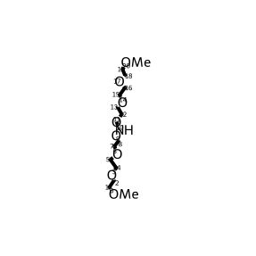 COCCOCCOCCONOCCOCCOCCOC